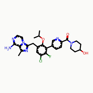 Cc1nc(Cc2cc(Cl)c(F)c(-c3ccc(C(=O)N4CCC(O)CC4)nc3)c2OC(C)C)n2ccnc(N)c12